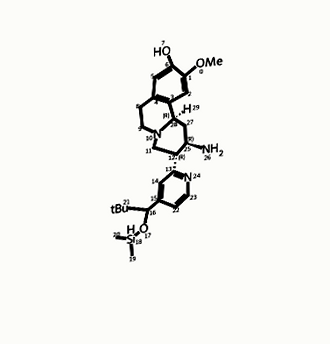 COc1cc2c(cc1O)CCN1C[C@@H](c3cc(C(O[SiH](C)C)C(C)(C)C)ccn3)[C@H](N)C[C@H]21